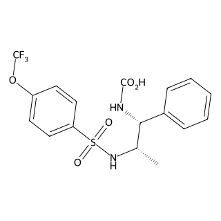 C[C@H](NS(=O)(=O)c1ccc(OC(F)(F)F)cc1)[C@H](NC(=O)O)c1ccccc1